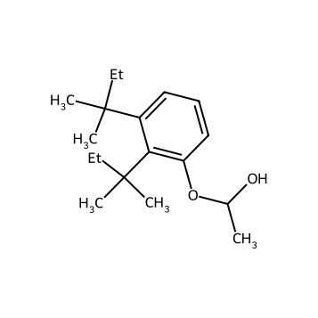 CCC(C)(C)c1cccc(OC(C)O)c1C(C)(C)CC